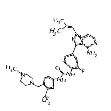 CC(C)=Cc1nc(-c2ccc(NC(=O)Nc3ccc(CN4CCN(C)CC4)c(C(F)(F)F)c3)c(F)c2)c2c(N)nccn12